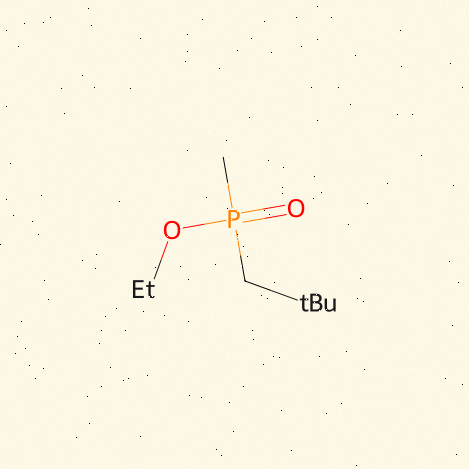 CCOP(C)(=O)CC(C)(C)C